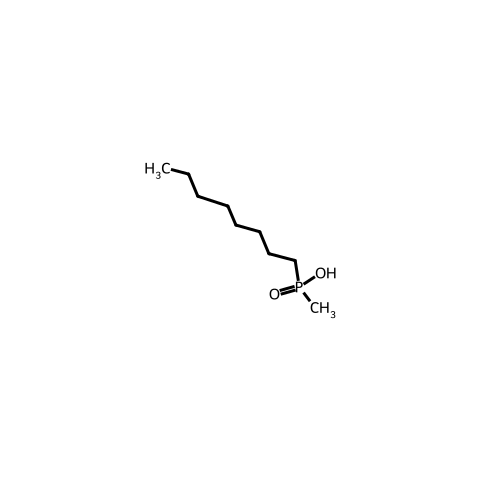 CCCCCCCCP(C)(=O)O